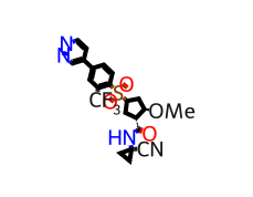 CO[C@@H]1CC(S(=O)(=O)c2ccc(-c3ccnnc3)cc2C(F)(F)F)C[C@H]1C(=O)NC1(C#N)CC1